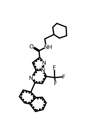 O=C(NCC1CCCCC1)c1cc2nc(-c3cccc4ccccc34)cc(C(F)(F)F)n2n1